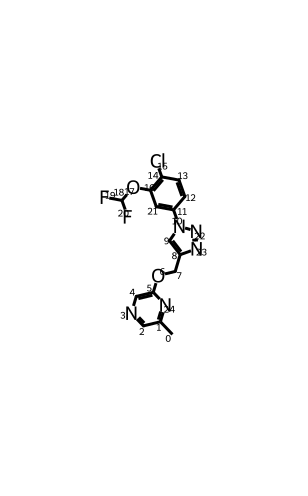 Cc1cncc(OCc2cn(-c3ccc(Cl)c(OC(F)F)c3)nn2)n1